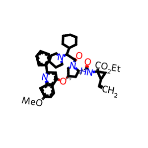 C=CC1CC1(NC(=O)[C@@H]1C[C@@H](Oc2cc(-c3ccccc3)nc3cc(OC)ccc23)CN1C(=O)C(C1CCCCC1)N1CCCCC1)C(=O)OCC